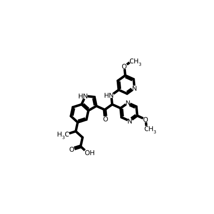 COc1cncc(NC(C(=O)c2c[nH]c3ccc(C(C)CC(=O)O)cc23)c2cnc(OC)cn2)c1